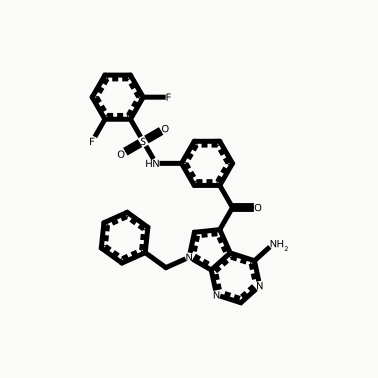 Nc1ncnc2c1c(C(=O)c1cccc(NS(=O)(=O)c3c(F)cccc3F)c1)cn2Cc1ccccc1